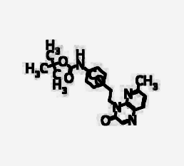 Cc1ccc2ncc(=O)n(CCC34CCC(NC(=O)OC(C)(C)C)(CC3)CO4)c2n1